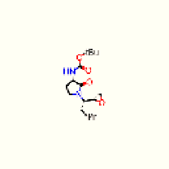 CC(C)C[C@@H]([C@@H]1CO1)N1CC[C@H](NC(=O)OC(C)(C)C)C1=O